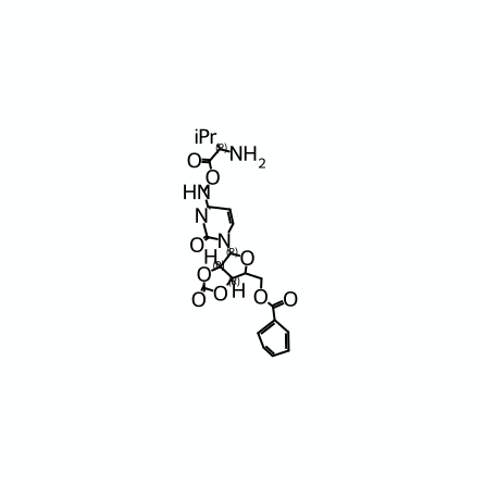 CC(C)[C@@H](N)C(=O)ONc1ccn([C@@H]2OC(COC(=O)c3ccccc3)[C@H]3OC(=O)O[C@H]32)c(=O)n1